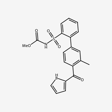 COC(=O)NS(=O)(=O)c1ccccc1-c1ccc(C(=O)C2=CC=CB2)c(C)c1